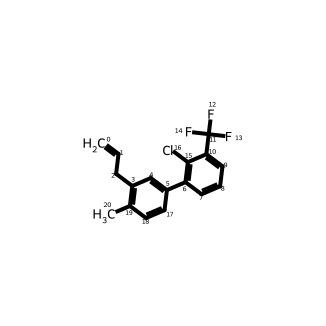 C=CCc1cc(-c2cccc(C(F)(F)F)c2Cl)ccc1C